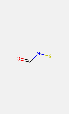 O=C[N][S]